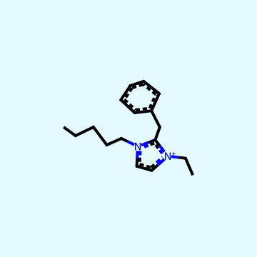 CCCCCn1cc[n+](CC)c1Cc1ccccc1